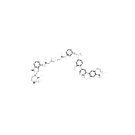 Nc1ncc(-c2ccc(S(=O)(=O)Nc3cccc(NC(=O)CNCCCC(=O)Nc4cccc5c4CN(C4CCC(=O)NC4=O)C5=O)c3)cc2F)cc1-c1ccc2c(c1)CCNC2=O